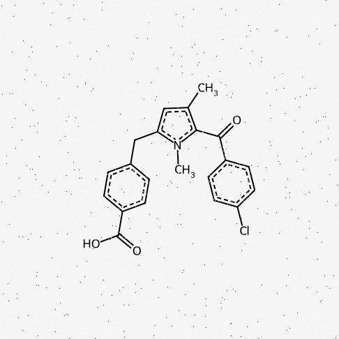 Cc1cc(Cc2ccc(C(=O)O)cc2)n(C)c1C(=O)c1ccc(Cl)cc1